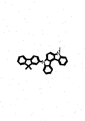 CC1(C)c2ccccc2-c2ccc(-n3c4ccccc4c4c5c6ccccc6n(I)c5ccc43)cc21